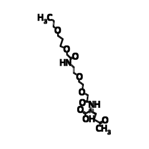 CCCOCCCOCC(=O)NCCOCCOCC(=O)N[C@@H](CCC(C)=O)C(=O)O